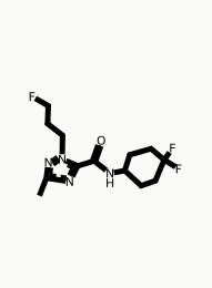 Cc1nc(C(=O)NC2CCC(F)(F)CC2)n(CCCF)n1